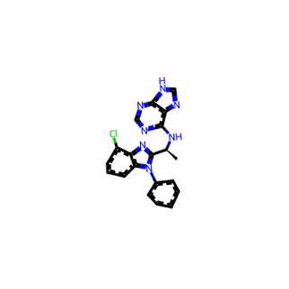 C[C@H](Nc1ncnc2[nH]cnc12)c1nc2c(Cl)cccc2n1-c1ccccc1